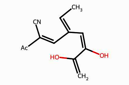 C=C(O)\C(O)=C/C(=C\C)/C=C(\C#N)C(C)=O